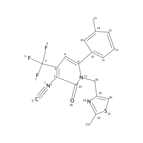 [C-]#[N+]c1c(C(F)(F)F)cc(-c2cccc(C)c2)n(Cc2csc(C)n2)c1=O